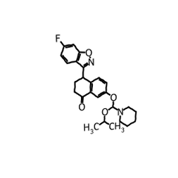 CC(C)OC(Oc1ccc2c(c1)C(=O)CCC2c1noc2cc(F)ccc12)N1CCCCC1